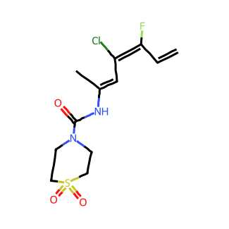 C=C/C(F)=C(Cl)\C=C(/C)NC(=O)N1CCS(=O)(=O)CC1